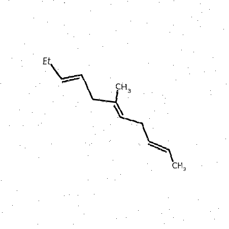 CC=CC/[C]=C(\C)CC=CCC